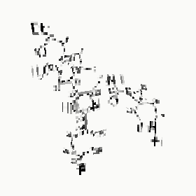 CCC(=O)CCCCC[C@H](NC(=O)C1CC12CCN(CC)CC2)c1nc(-c2ccc(F)cc2)[nH]c1-c1ccn(C)c1